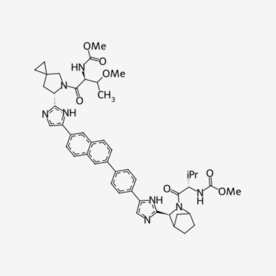 COC(=O)N[C@H](C(=O)N1C2CCC(C2)[C@H]1c1ncc(-c2ccc(-c3ccc4cc(-c5cnc([C@@H]6CC7(CC7)CN6C(=O)[C@@H](NC(=O)OC)C(C)OC)[nH]5)ccc4c3)cc2)[nH]1)C(C)C